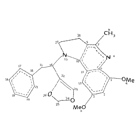 COc1cc(OC)c2nc(C)c3c(c2c1)N(C(Cc1ccccc1)C1=COCO1)CC3